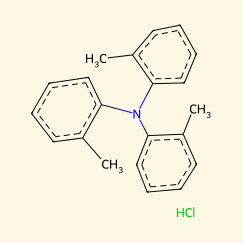 Cc1ccccc1N(c1ccccc1C)c1ccccc1C.Cl